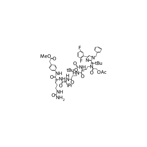 COC(=O)Cc1ccc(NC(=O)[C@H](CCCNC(N)=O)NC(=O)[C@@H](NC(=O)CCNC(=O)[C@H](CCN(C(=O)COC(C)=O)[C@@H](c2nc(-c3cc(F)ccc3F)cn2Cc2ccccc2)C(C)(C)C)NC(=O)OC(C)(C)C)C(C)C)cc1